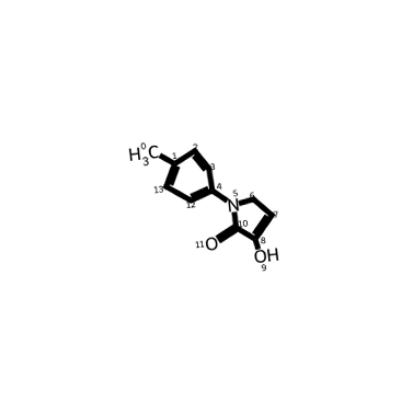 Cc1ccc(N2CC=C(O)C2=O)cc1